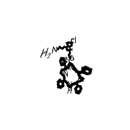 NCCCCc1cc(CCC(=O)Nc2cc3[nH]c2c(-c2ccccc2)c2nc(c(-c4ccccc4)c4ccc([nH]4)c(-c4ccccc4)c4nc(c3-c3ccccc3)C=C4)C=C2)nc2cc(Cl)ccc12